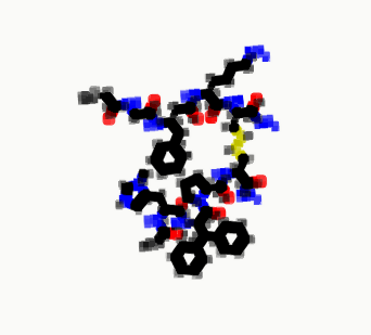 CCCC(=O)N[C@@H](Cc1cncn1C)C(=O)N[C@H](C(=O)N1CCC[C@H]1C(=O)N[C@@H](CSSC[C@H](NC(=O)[C@@H](CCCCN)NC(=O)C[C@H](Cc1ccccc1)NC(=O)CNC(=O)C[C@@H](C)CC)C(N)=O)C(N)=O)C(c1ccccc1)c1ccccc1